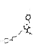 COc1ccc(Cn2ncc3c(c(C(F)(F)F)nn3CCOCCC(=O)N3CCNCC3)c2=O)cc1